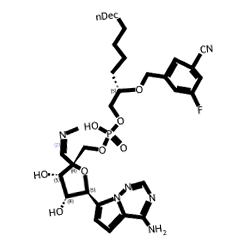 CCCCCCCCCCCCCC[C@@H](COP(=O)(O)OC[C@@]1(/C=N\C)O[C@@H](c2ccc3c(N)ncnn23)[C@H](O)[C@@H]1O)OCc1cc(F)cc(C#N)c1